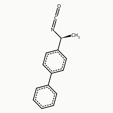 C[C@H](N=C=O)c1ccc(-c2ccccc2)cc1